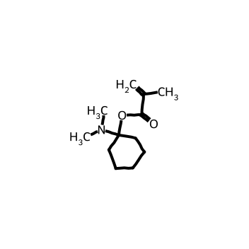 C=C(C)C(=O)OC1(N(C)C)CCCCC1